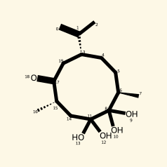 C=C(C)[C@@H]1CC[C@@H](C)C(O)(O)C(O)(O)C[C@H](C)C(=O)C1